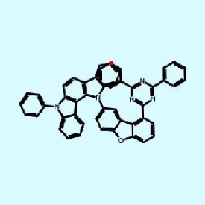 c1ccc(-c2nc(-c3ccccc3)nc(-c3cccc4oc5ccc(-n6c7ccccc7c7ccc8c(c9ccccc9n8-c8ccccc8)c76)cc5c34)n2)cc1